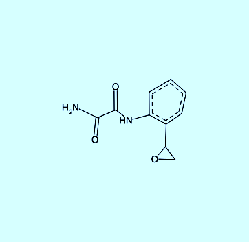 NC(=O)C(=O)Nc1ccccc1C1CO1